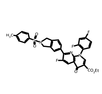 CCOC(=O)c1cn(-c2ccc(F)cc2F)c2nc(-c3ccc4c(c3)CN(S(=O)(=O)c3ccc(C)cc3)C4)c(F)cc2c1=O